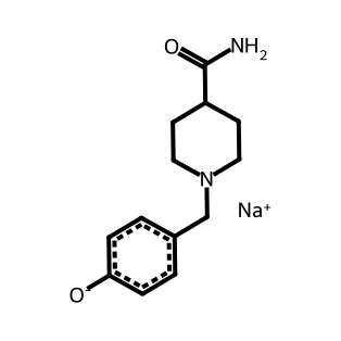 NC(=O)C1CCN(Cc2ccc([O-])cc2)CC1.[Na+]